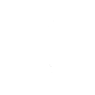 COC(=O)Cc1ccc(CN2C(=O)CCC2C=O)cc1